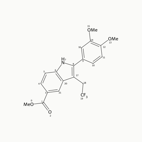 COC(=O)c1ccc2[nH]c(-c3ccc(OC)c(OC)c3)c(CC(F)(F)F)c2c1